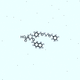 O=C(O)N1CCC(c2ccc(COCCCOCc3ccccc3)cc2)C(OCc2ccc3ccccc3c2)C1